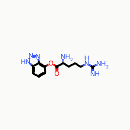 N=C(N)NCCC[C@H](N)C(=O)Oc1cccc2[nH]nnc12